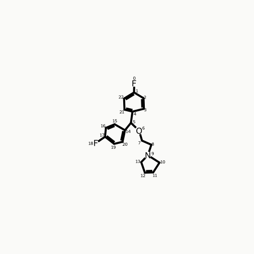 Fc1ccc(C(OCCN2CC=CC2)c2ccc(F)cc2)cc1